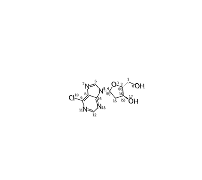 OC[C@H]1O[C@@H](n2cnc3c(Cl)ncnc32)C[C@@H]1O